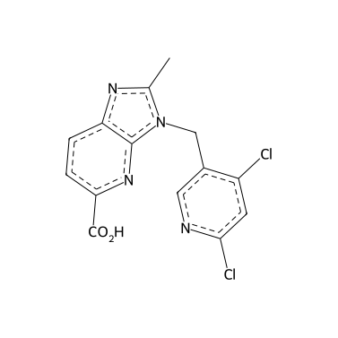 Cc1nc2ccc(C(=O)O)nc2n1Cc1cnc(Cl)cc1Cl